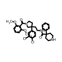 COc1cccc(OC)c1C(=O)N1CCC(CCNC(=O)C2(c3ccccc3)CCNCC2)(c2ccc(Cl)c(Cl)c2)C1